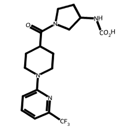 O=C(O)NC1CCN(C(=O)C2CCN(c3cccc(C(F)(F)F)n3)CC2)C1